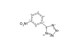 O=[N+]([O-])c1cccc(C2N=NN=N2)c1